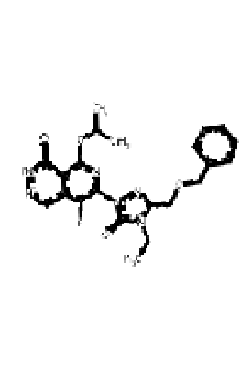 CCn1c(COCc2ccccc2)nn(-c2nc(OC(C)C)c3c(=O)[nH]ncc3c2F)c1=O